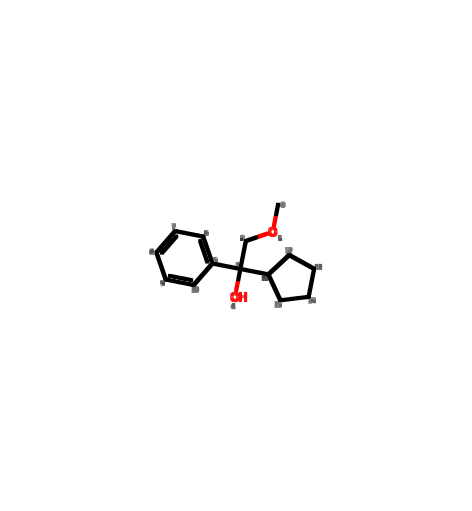 COCC(O)(c1ccccc1)C1CCCC1